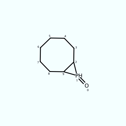 O=[PH]1C2CCCCCCC21